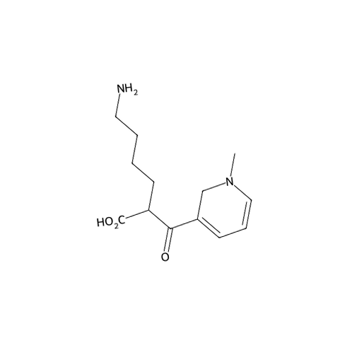 CN1C=CC=C(C(=O)C(CCCCN)C(=O)O)C1